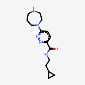 O=C(NCCC1CC1)c1ccc(N2CCCNCC2)nn1